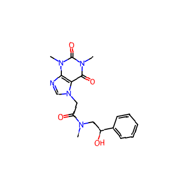 CN(CC(O)c1ccccc1)C(=O)Cn1cnc2c1c(=O)n(C)c(=O)n2C